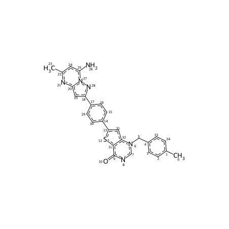 Cc1ccc(Cn2cnc(=O)c3sc(-c4ccc(-c5cc6nc(C)cc(N)n6n5)cc4)cc32)cc1